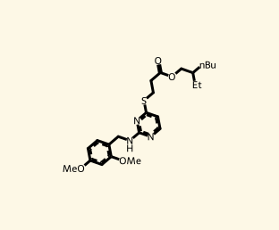 CCCCC(CC)COC(=O)CCSc1ccnc(NCc2ccc(OC)cc2OC)n1